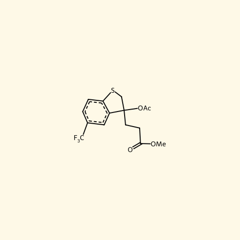 COC(=O)CCC1(OC(C)=O)CSc2ccc(C(F)(F)F)cc21